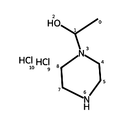 CC(O)N1CCNCC1.Cl.Cl